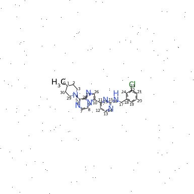 CC1CCN(c2nccn3c(-c4ccnc(NCc5cccc(Cl)c5)n4)cnc23)CC1